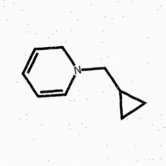 C1=CCN(CC2CC2)C=C1